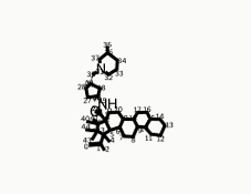 C=C(C)C1(C)C2C3CCC4C5CCCCC5CCC4C3CCC2(C(=O)N[C@@H]2CC[C@H](CN3CCCC(C)C3)C2)C(C)(C)C1(C)C